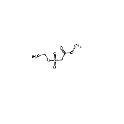 CCOS(=O)(=O)CC(=O)OC